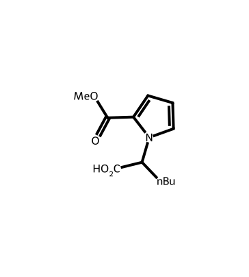 CCCCC(C(=O)O)n1cccc1C(=O)OC